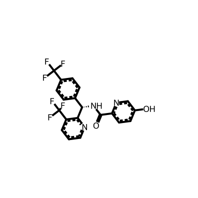 O=C(N[C@@H](c1ccc(C(F)(F)F)cc1)c1ncccc1C(F)(F)F)c1ccc(O)cn1